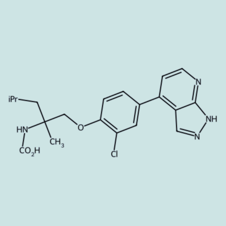 CC(C)CC(C)(COc1ccc(-c2ccnc3[nH]ncc23)cc1Cl)NC(=O)O